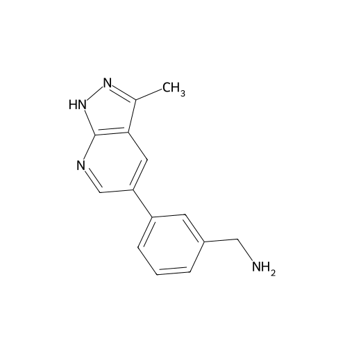 Cc1n[nH]c2ncc(-c3cccc(CN)c3)cc12